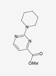 COC(=O)c1ccnc(N2CCCCC2)n1